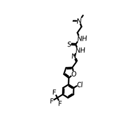 CN(C)CCNC(=S)N/N=C/c1ccc(-c2cc(C(F)(F)F)ccc2Cl)o1